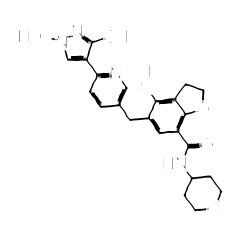 Cc1nn(C)cc1-c1ccc(Cc2cc(C(=O)NC3CCOCC3)c3c(c2C)CCO3)cn1